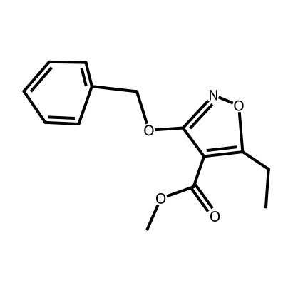 CCc1onc(OCc2ccccc2)c1C(=O)OC